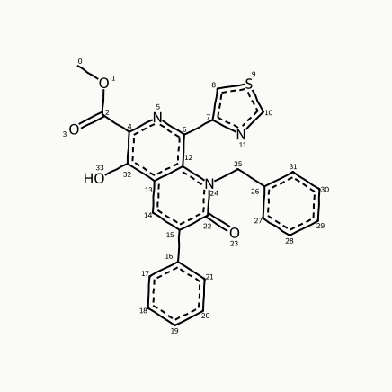 COC(=O)c1nc(-c2cscn2)c2c(cc(-c3ccccc3)c(=O)n2Cc2ccccc2)c1O